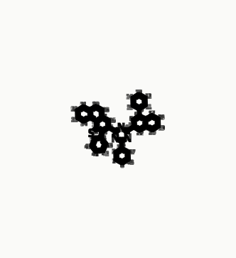 c1ccc(-c2nc(-c3cc(-c4ccccc4)c4ccccc4c3)nc(-c3cc4ccc5ccccc5c4c4sc5ccccc5c34)n2)cc1